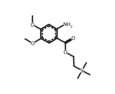 COc1cc(N)c(C(=O)OCC[Si](C)(C)C)cc1OC